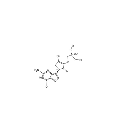 C=C1C(OCP(=O)(OCC)OCC)=C(O)C[C@@H]1n1cnc2c(=O)[nH]c(N)nc21